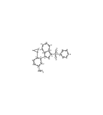 Nc1ncc(C2CC2)c(-c2cn(S(=O)(=O)c3ccccc3)c3ccccc23)n1